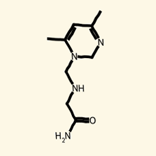 CC1=CC(C)=NCN1CNCC(N)=O